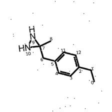 CCc1ccc(CC2(C)NN2)cc1